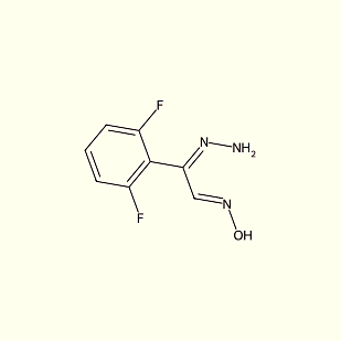 NN=C(C=NO)c1c(F)cccc1F